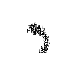 CC(C)(C)OC(=O)N1CCC(CN2CCN(c3ccc4nc(-c5c(N)c6c(F)cccc6[nH]c5=O)[nH]c4c3)CC2)CC1